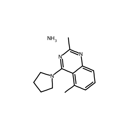 Cc1nc(N2CCCC2)c2c(C)cccc2n1.N